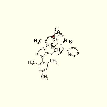 Cc1cc(C)c(N2CCN(c3c(C)cc(C)cc3C)C2=CCOC(c2ncccc2Br)c2ncc(Cl)c(Cl)c2Br)c(C)c1